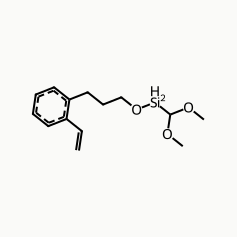 C=Cc1ccccc1CCCO[SiH2]C(OC)OC